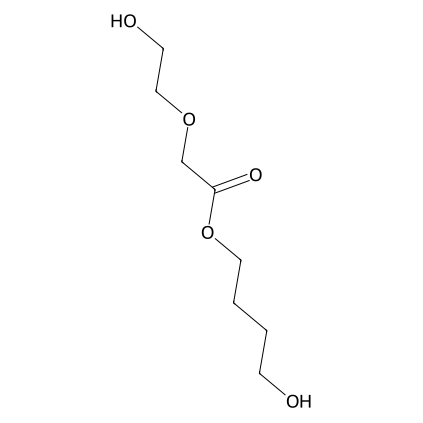 O=C(COCCO)OCCCCO